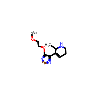 CCCCOCCOc1nsnc1C1=CCCNC1C